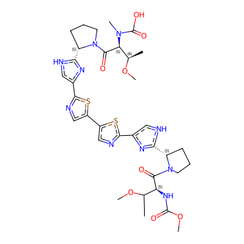 COC(=O)N[C@H](C(=O)N1CCC[C@H]1c1nc(-c2ncc(-c3cnc(-c4c[nH]c([C@@H]5CCCN5C(=O)[C@H]([C@@H](C)OC)N(C)C(=O)O)n4)s3)s2)c[nH]1)C(C)OC